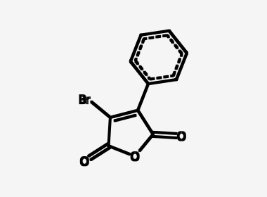 O=C1OC(=O)C(c2ccccc2)=C1Br